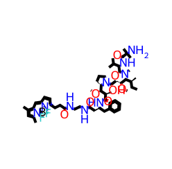 CC[C@H](C)[C@@H]([C@@H](CC(O)N1CCC[C@H]1[C@H](OC)[C@@H](C)C(=O)N[C@H](CC(=O)NCCNC(=O)CCC1=[N+]2C(=Cc3c(C)cc(C)n3[B-]2(F)F)C=C1)Cc1ccccc1)OC)N(C)C(=O)[C@@H](NC(=O)C(C)(C)N)C(C)C